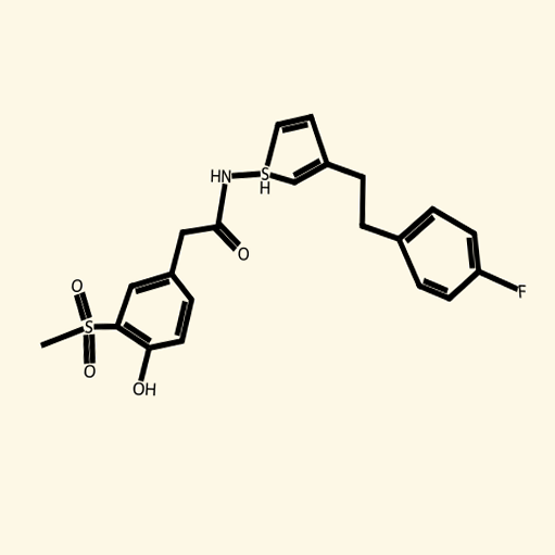 CS(=O)(=O)c1cc(CC(=O)N[SH]2C=CC(CCc3ccc(F)cc3)=C2)ccc1O